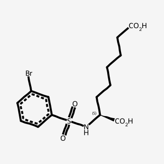 O=C(O)CCCCC[C@H](NS(=O)(=O)c1cccc(Br)c1)C(=O)O